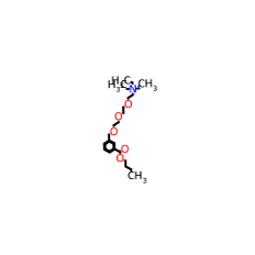 CCCCOC(=O)c1cccc(COCCOCCOCC[N+](CC)(CC)CC)c1